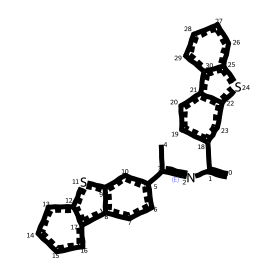 C=C(/N=C(\C)c1ccc2c(c1)sc1ccccc12)c1ccc2c(c1)sc1ccccc12